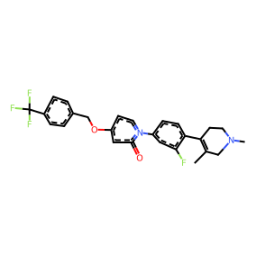 CC1=C(c2ccc(-n3ccc(OCc4ccc(C(F)(F)F)cc4)cc3=O)cc2F)CCN(C)C1